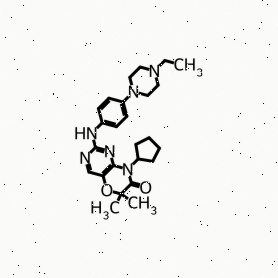 CCN1CCN(c2ccc(Nc3ncc4c(n3)N(C3CCCC3)C(=O)C(C)(C)O4)cc2)CC1